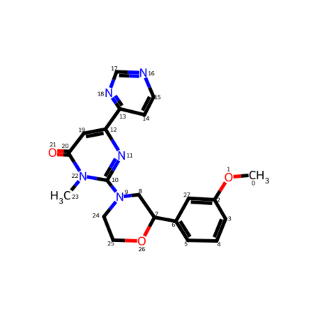 COc1cccc(C2CN(c3nc(-c4ccncn4)cc(=O)n3C)CCO2)c1